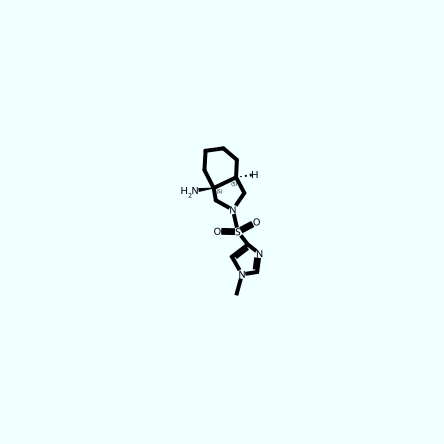 Cn1cnc(S(=O)(=O)N2C[C@@H]3CCCC[C@@]3(N)C2)c1